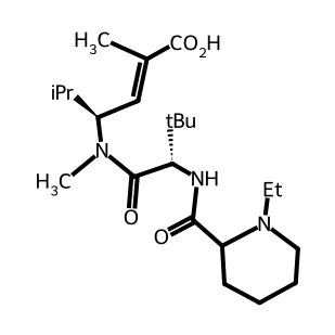 CCN1CCCCC1C(=O)N[C@H](C(=O)N(C)[C@H](/C=C(\C)C(=O)O)C(C)C)C(C)(C)C